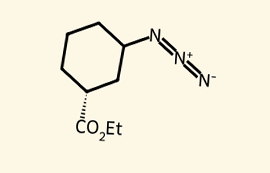 CCOC(=O)[C@@H]1CCCC(N=[N+]=[N-])C1